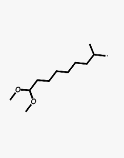 [CH2]C(C)CCCCCCC(OC)OC